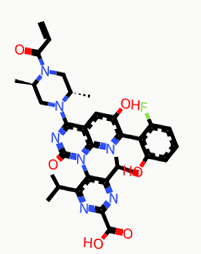 C=CC(=O)N1C[C@H](C)N(c2nc(=O)n(-c3c(C(C)C)nc(C(=O)O)nc3C(C)C)c3nc(-c4c(O)cccc4F)c(O)cc23)C[C@H]1C